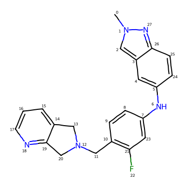 Cn1cc2cc(Nc3ccc(CN4Cc5cccnc5C4)c(F)c3)ccc2n1